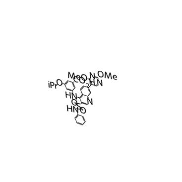 COc1ncc(-c2ccc3c(Nc4cc(OC(C)C)cc(C(=O)O)c4)c(S(=O)(=O)Nc4ccccc4)cnc3c2)c(OC)n1